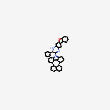 c1ccc(C2Nc3cc4oc5ccccc5c4cc3N=C2n2c3cccc4c3c3c(cccc32)-c2cccc3cccc-4c23)cc1